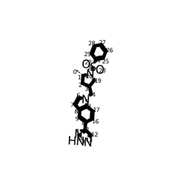 C[C@H]1CC(Cn2ccc3cc(-c4cn[nH]n4)ccc32)CN1S(=O)(=O)c1ccccc1